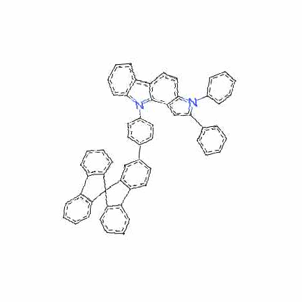 c1ccc(-c2cc3c(ccc4c5ccccc5n(-c5ccc(-c6ccc7c(c6)C6(c8ccccc8-c8ccccc86)c6ccccc6-7)cc5)c43)n2-c2ccccc2)cc1